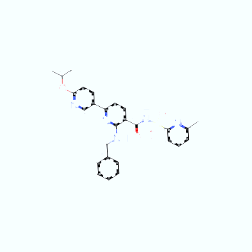 Cc1cccc(S(=O)(=O)NC(=O)c2ccc(-c3ccc(OC(C)C)nc3)nc2NCc2ccccc2)n1